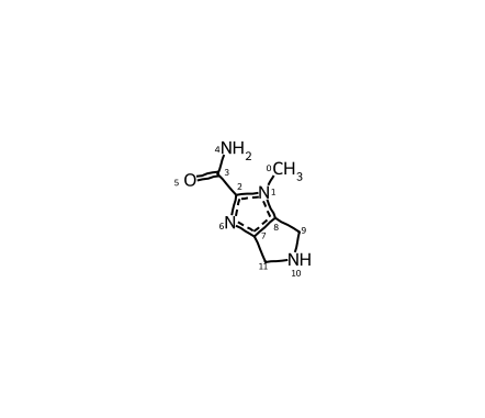 Cn1c(C(N)=O)nc2c1CNC2